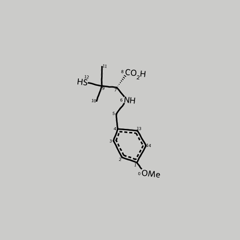 COc1ccc(CN[C@@H](C(=O)O)C(C)(C)S)cc1